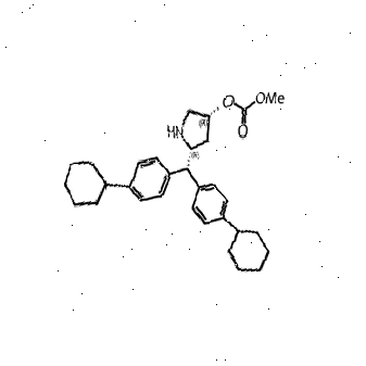 COC(=O)O[C@H]1CN[C@@H](C(c2ccc(C3CCCCC3)cc2)c2ccc(C3CCCCC3)cc2)C1